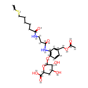 C=CSCCCCCC(=O)NCCC(=O)Nc1cc(COC(C)=O)ccc1OC1OC(C(=O)O)CC(O)[C@H]1O